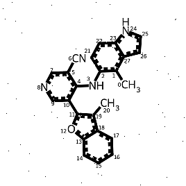 Cc1c(Nc2c(C#N)cncc2-c2oc3ccccc3c2C)ccc2[nH]ccc12